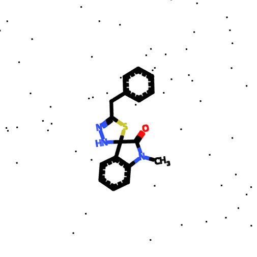 CN1C(=O)C2(NN=C(Cc3ccccc3)S2)c2ccccc21